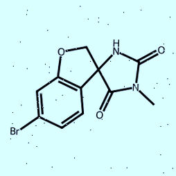 CN1C(=O)NC2(COc3cc(Br)ccc32)C1=O